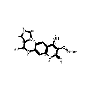 CCCCCCOc1c(O)c2ccc(OC(C(C)C)C3COCO3)cc2oc1=O